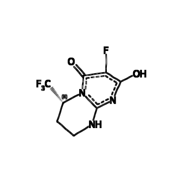 O=c1c(F)c(O)nc2n1[C@@H](C(F)(F)F)CCN2